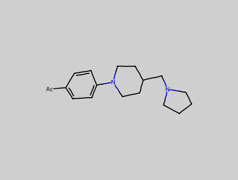 CC(=O)c1ccc(N2CCC(CN3CCCC3)CC2)cc1